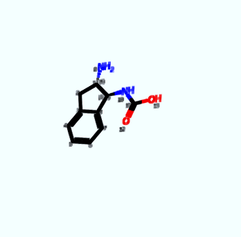 N[C@H]1Cc2ccccc2[C@@H]1NC(=O)O